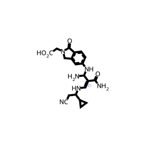 N#CCC(N/C=C(/C(N)=O)C(N)Nc1ccc2c(c1)CN(CC(=O)O)C2=O)C1CC1